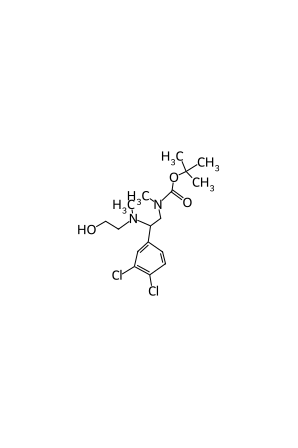 CN(CC(c1ccc(Cl)c(Cl)c1)N(C)CCO)C(=O)OC(C)(C)C